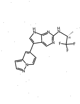 C[C@@H](Nc1ncc2c(-c3ccn4nccc4c3)c[nH]c2n1)C(F)(F)F